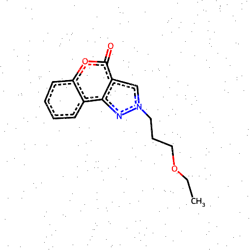 CCOCCCn1cc2c(=O)oc3ccccc3c2n1